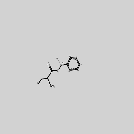 CCC(N)C(=O)O[C@H](C)c1ccccc1